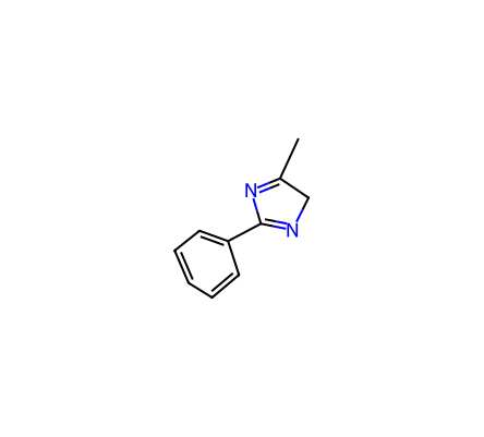 CC1=NC(c2ccccc2)=NC1